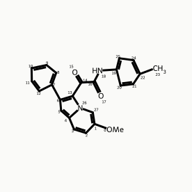 COc1ccc2cc(-c3ccccc3)c(C(=O)C(=O)Nc3ccc(C)cc3)n2c1